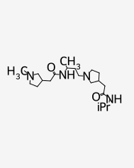 CC(C)NC(=O)CC1CCN(CCC(C)NC(=O)CC2CCN(C)C2)C1